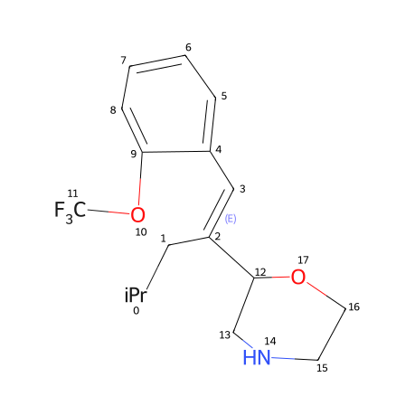 CC(C)C/C(=C\c1ccccc1OC(F)(F)F)C1CNCCO1